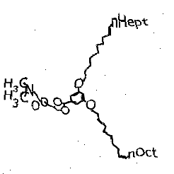 CCCCCCC/C=C/CCCCCCCCOc1cc(OCCCCCCCC/C=C\CCCCCCCC)cc(C2OCC(COC(=O)CN(C)C)O2)c1